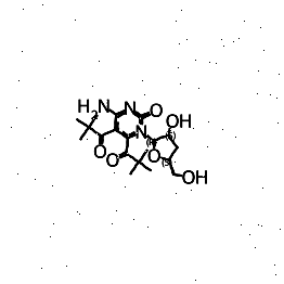 CC(C)(C)C(=O)c1c(N)nc(=O)n([C@@H]2O[C@H](CO)C[C@@H]2O)c1C(=O)C(C)(C)C